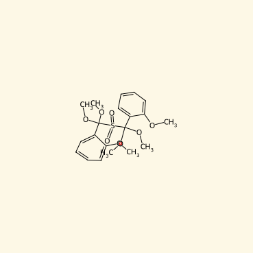 COc1ccccc1C(OC)(OC)S(=O)(=O)C(OC)(OC)c1ccccc1OC